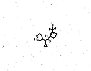 O=S(=O)(c1cccc(C(F)(F)F)c1)C(C1CC1)C1CCCNC1